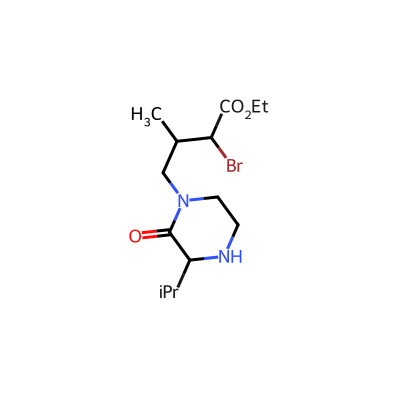 CCOC(=O)C(Br)C(C)CN1CCNC(C(C)C)C1=O